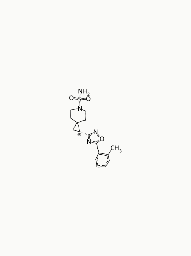 Cc1ccccc1-c1nc([C@@H]2CC23CCN(S(N)(=O)=O)CC3)no1